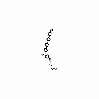 CC(=O)OCCOCCOc1ccc(C(=O)c2ccc(-c3ccc(-c4ccc(-c5ccc(C(F)(F)F)cc5)cc4)cc3)cc2)cc1